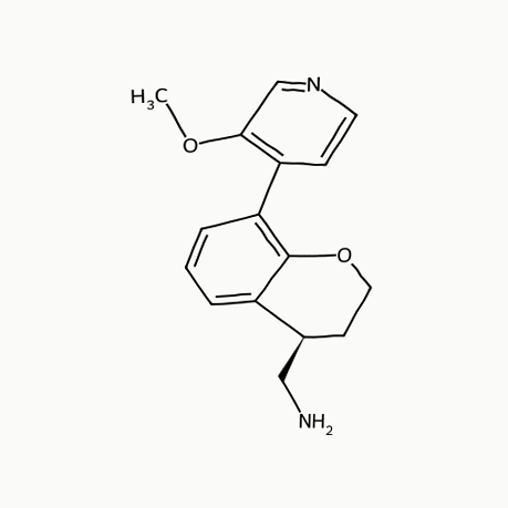 COc1cnccc1-c1cccc2c1OCC[C@H]2CN